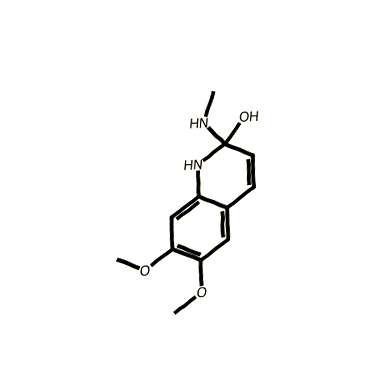 CNC1(O)C=Cc2cc(OC)c(OC)cc2N1